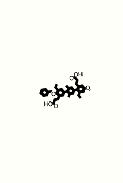 CCc1cc(-c2c(C)cc(-c3c(CC)cc(OC)cc3CCC(=O)O)cc2C)cc(CCC(=O)O)c1OCc1ccccc1